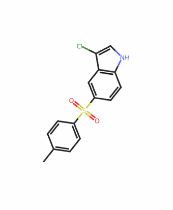 Cc1ccc(S(=O)(=O)c2ccc3[nH]cc(Cl)c3c2)cc1